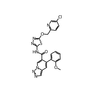 COc1ccccc1-c1cc2cnnn2cc1C(=O)Nc1nnc(OCc2ccc(Cl)cn2)s1